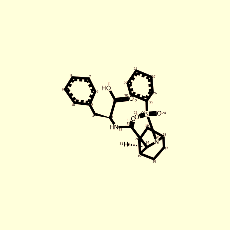 O=C(O)[C@H](Cc1ccccc1)NC(=O)[C@@H]1C2CCC(CC2)N1S(=O)(=O)c1ccccc1